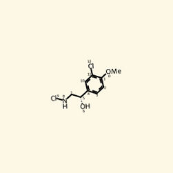 COc1ccc([C@H](O)CNCl)cc1Cl